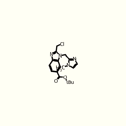 Cn1ccnc1Cn1c(CCl)nc2ccc(C(=O)OC(C)(C)C)cc21